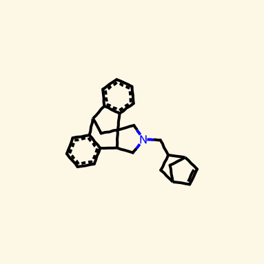 C1=CC2CC1CC2CN1CC2c3ccccc3C3CC2(C1)c1ccccc13